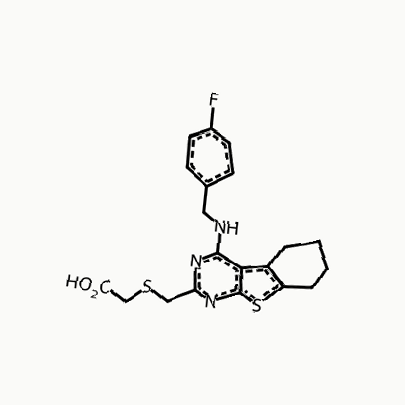 O=C(O)CSCc1nc(NCc2ccc(F)cc2)c2c3c(sc2n1)CCCC3